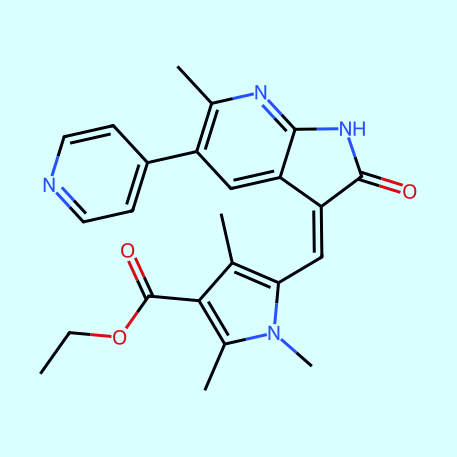 CCOC(=O)c1c(C)c(C=C2C(=O)Nc3nc(C)c(-c4ccncc4)cc32)n(C)c1C